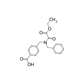 CCOC(=O)C(=O)N(Cc1ccccc1)Cc1ccc(C(=O)O)cc1